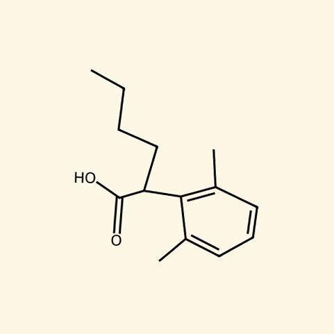 CCCCC(C(=O)O)c1c(C)cccc1C